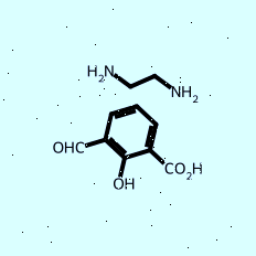 NCCN.O=Cc1cccc(C(=O)O)c1O